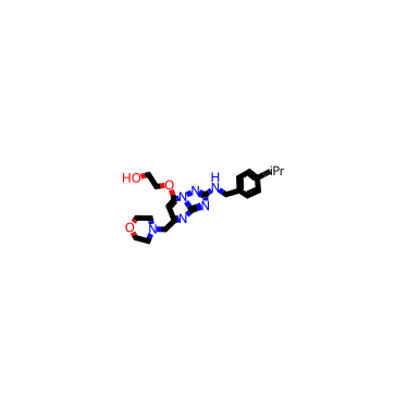 CC(C)c1ccc(CNc2nc3nc(CN4CCOCC4)cc(OCCO)n3n2)cc1